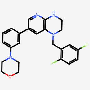 Fc1ccc(F)c(CN2CCNc3ncc(-c4cccc(N5CCOCC5)c4)cc32)c1